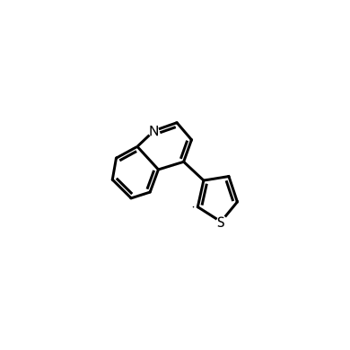 [c]1sccc1-c1ccnc2ccccc12